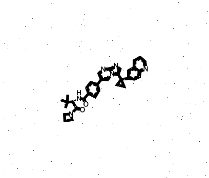 CC(C)(C)[C@H](NC(=O)c1ccc(-c2cnc3ncc(C4(c5ccc6ncccc6c5)CC4)n3c2)cc1)C(=O)N1CCC1